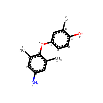 Cc1cc(N)cc(C#N)c1Oc1ccc(O)c(C(C)C)c1